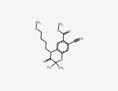 C#Cc1cc2c(cc1C(=O)OC)N(CCCCOC)C(=O)C(C)(C)O2